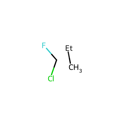 CCC.FCCl